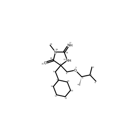 CC(C)[C@H](C)OCC1(CC2CCCCC2)NC(=N)N(C)C1=O